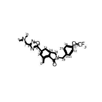 Cc1cc(-c2nc(CN(C)C)no2)cc2c1C(=O)N(Cc1ccc(OC(F)(F)F)cc1)C2